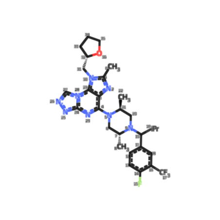 Cc1nc2c(N3C[C@@H](C)N(C(c4ccc(F)c(C(F)(F)F)c4)C(C)C)C[C@@H]3C)nc3nncn3c2n1C[C@@H]1CCCO1